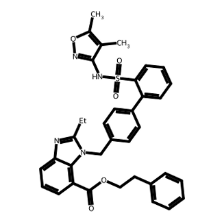 CCc1nc2cccc(C(=O)OCCc3ccccc3)c2n1Cc1ccc(-c2ccccc2S(=O)(=O)Nc2noc(C)c2C)cc1